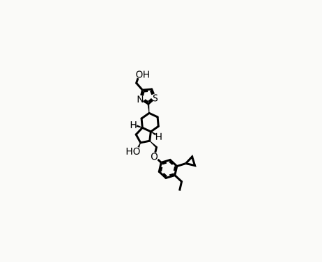 CCc1ccc(OC[C@@H]2[C@H]3CC[C@H](c4nc(CO)cs4)C[C@H]3C[C@@H]2O)cc1C1CC1